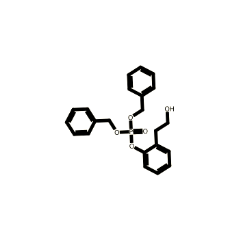 O=P(OCc1ccccc1)(OCc1ccccc1)Oc1ccccc1CCO